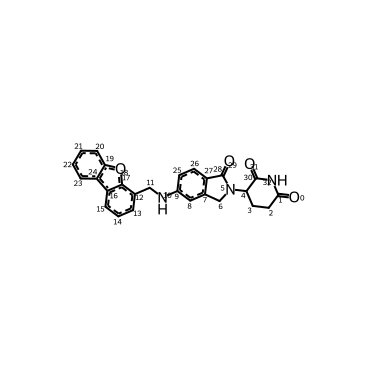 O=C1CCC(N2Cc3cc(NCc4cccc5c4oc4ccccc45)ccc3C2=O)C(=O)N1